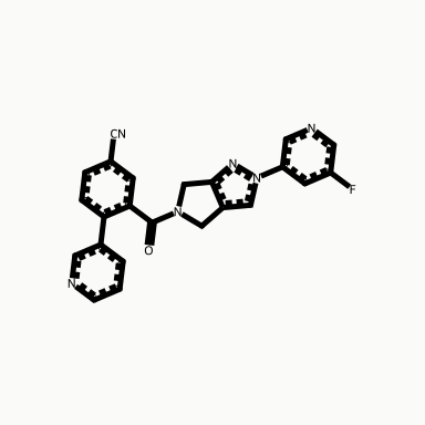 N#Cc1ccc(-c2cccnc2)c(C(=O)N2Cc3cn(-c4cncc(F)c4)nc3C2)c1